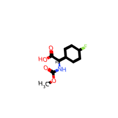 COC(=O)N[C@@H](C(=O)O)C1CCC(F)CC1